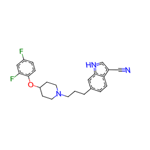 N#Cc1c[nH]c2cc(CCCN3CCC(Oc4ccc(F)cc4F)CC3)ccc12